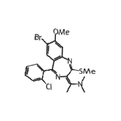 COc1cc2c(cc1Br)C(c1ccccc1Cl)=NC(=C(C)N(C)C)C(SC)=N2